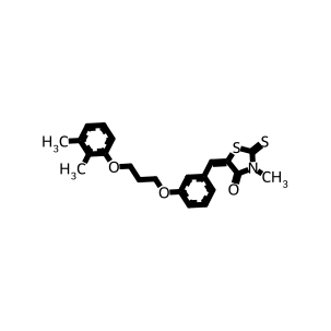 Cc1cccc(OCCCOc2cccc(C=C3SC(=S)N(C)C3=O)c2)c1C